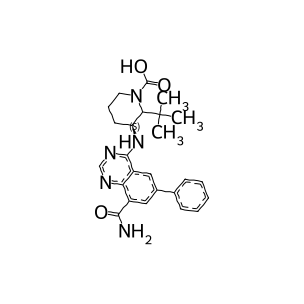 CC(C)(C)C1[C@@H](Nc2ncnc3c(C(N)=O)cc(-c4ccccc4)cc23)CCCN1C(=O)O